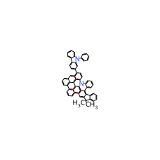 CC1(C)c2ccccc2-c2c(-c3ccccc3N(c3ccc(-c4ccc5c6ccccc6n(-c6ccccc6)c5c4)cc3)c3ccccc3-c3cccc4cccc(-c5ccccc5)c34)cccc21